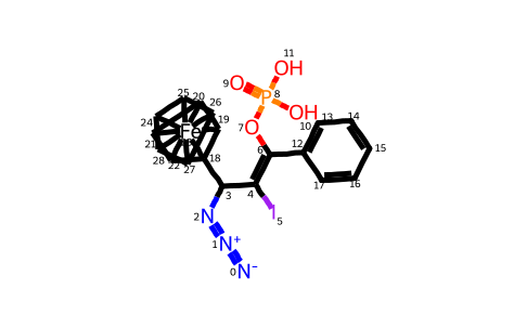 [N-]=[N+]=NC(C(I)=C(OP(=O)(O)O)c1ccccc1)[C]12[CH]3[CH]4[CH]5[CH]1[Fe]45321678[CH]2[CH]1[CH]6[CH]7[CH]28